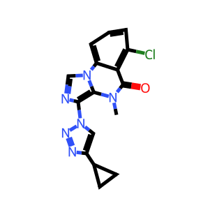 Cn1c(=O)c2c(Cl)cccc2n2cnc(-n3cc(C4CC4)nn3)c12